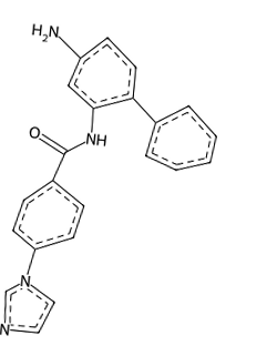 Nc1ccc(-c2ccccc2)c(NC(=O)c2ccc(-n3ccnc3)cc2)c1